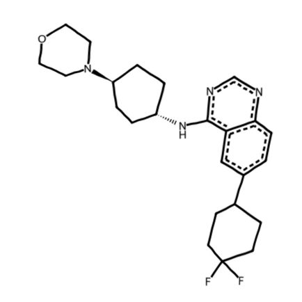 FC1(F)CCC(c2ccc3ncnc(N[C@H]4CC[C@H](N5CCOCC5)CC4)c3c2)CC1